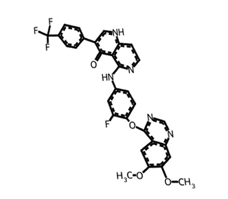 COc1cc2ncnc(Oc3ccc(Nc4nccc5[nH]cc(-c6ccc(C(F)(F)F)cc6)c(=O)c45)cc3F)c2cc1OC